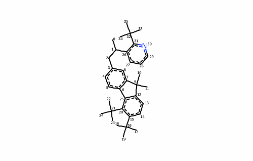 CC(Cc1ccc2c(c1)C(C)(C)c1ccc(C(C)(C)C)c(C(C)(C)C)c1-2)c1cccnc1C(C)(C)C